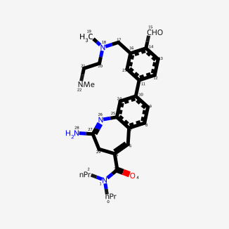 CCCN(CCC)C(=O)C1=Cc2ccc(-c3ccc(C=O)c(CN(C)CCNC)c3)cc2N=C(N)C1